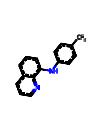 FC(F)(F)c1ccc(Nc2cccc3cccnc23)cc1